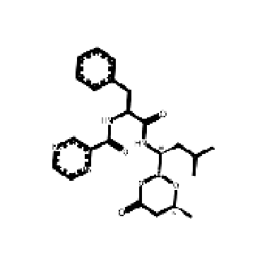 CC(C)C[C@H](NC(=O)C(Cc1ccccc1)NC(=O)c1cnccn1)B1OC(=O)C[C@H](C)O1